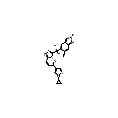 Cn1cc2cc(C(F)(F)c3nnc4ccc(-c5cnn(C6CC6)c5)nn34)c(F)cc2n1